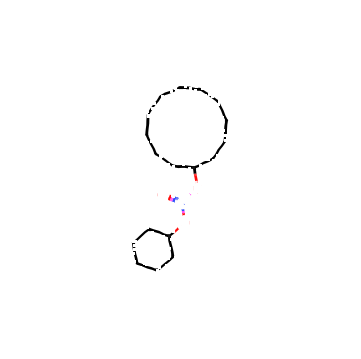 O=[N+](OC1CCCCCCCCCCC1)OC1CCCCC1